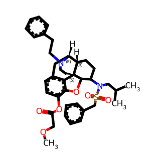 COCC(=O)Oc1ccc2c3c1OC1C(N(CC(C)C)S(=O)(=O)Cc4ccccc4)CC[C@H]4[C@@H](C2)N(CCc2ccccc2)CC[C@]314